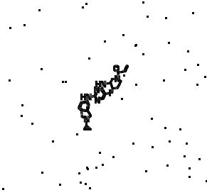 C=CC(=O)N1CCCC(Nc2nc(Nc3ccc4c(c3)CN(C3CC3)C4)ncc2F)C1